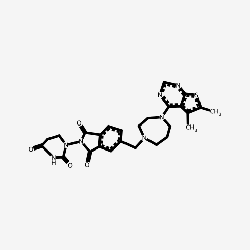 Cc1sc2ncnc(N3CCCN(Cc4ccc5c(c4)C(=O)N(N4CCC(=O)NC4=O)C5=O)CC3)c2c1C